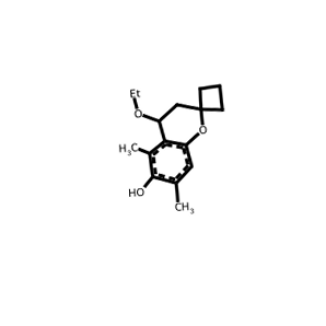 CCOC1CC2(CCC2)Oc2cc(C)c(O)c(C)c21